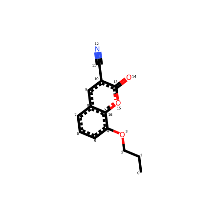 CCCOc1cccc2cc(C#N)c(=O)oc12